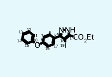 CCOC(=O)c1[nH]nc(-c2ccc(Oc3ccccc3)cc2)c1I